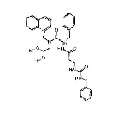 CCOC(CN(Cc1cccc2ccccc12)C(=O)[C@H](Cc1ccccc1)NC(=O)CCNC(=O)NCc1ccccc1)OCC